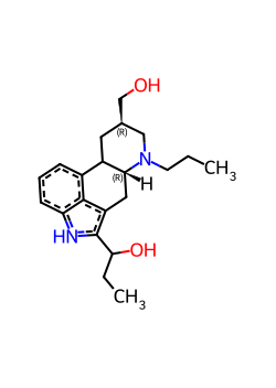 CCCN1C[C@H](CO)CC2c3cccc4[nH]c(C(O)CC)c(c34)C[C@H]21